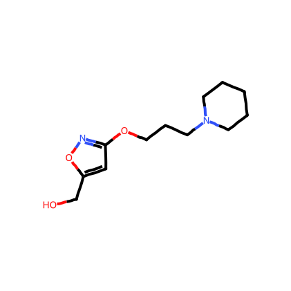 OCc1cc(OCCCN2CCCCC2)no1